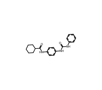 O=C(Nc1ccccc1)Nc1ccc(NC(=O)C2CCCCC2)cc1